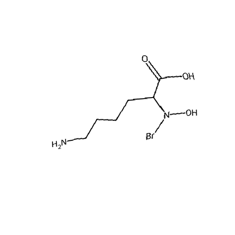 NCCCCC(C(=O)O)N(O)Br